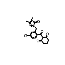 Cc1nn(Cc2cc(Cl)ccc2C(=O)C2C(=O)CCCC2=O)c(=O)n1C